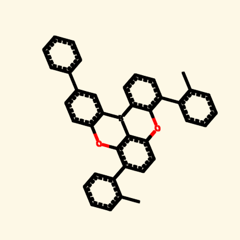 Cc1ccccc1-c1cccc2c1Oc1ccc(-c3ccccc3C)c3c1B2c1cc(-c2ccccc2)ccc1O3